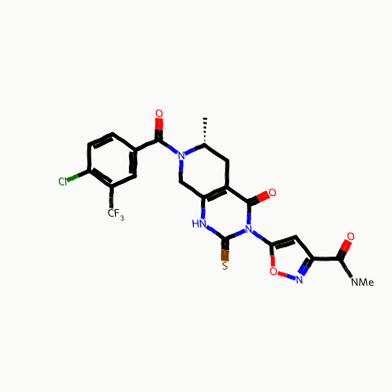 CNC(=O)c1cc(-n2c(=S)[nH]c3c(c2=O)C[C@@H](C)N(C(=O)c2ccc(Cl)c(C(F)(F)F)c2)C3)on1